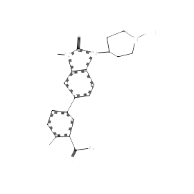 Cc1ccc(-c2ccc3c(c2)n(C)c(=O)n3C2CCN(C)CC2)cc1C(N)=O